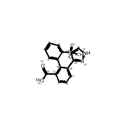 CS(=O)(=O)c1ccccc1-c1c(C(=O)O)cccc1-c1cc[nH]n1